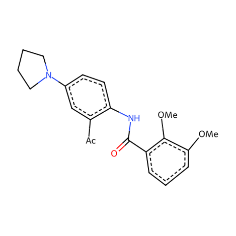 COc1cccc(C(=O)Nc2ccc(N3CCCC3)cc2C(C)=O)c1OC